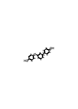 Oc1ccc(Sc2cccc(-c3ccc(O)cc3)c2)cc1